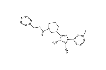 N#Cc1c(-c2cccc(I)c2)nn(C2CCCN(C(=O)OCc3ccccc3)C2)c1N